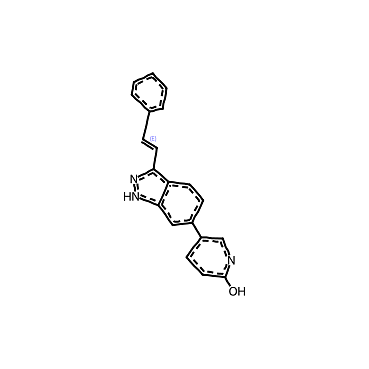 Oc1ccc(-c2ccc3c(/C=C/c4ccccc4)n[nH]c3c2)cn1